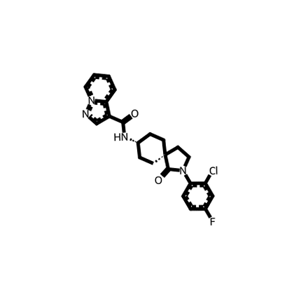 O=C(N[C@H]1CC[C@@]2(CCN(c3ccc(F)cc3Cl)C2=O)CC1)c1cnn2ccccc12